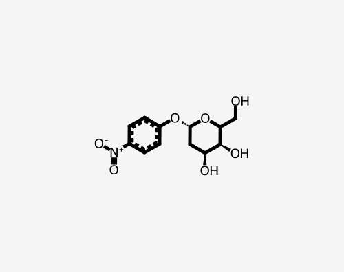 O=[N+]([O-])c1ccc(O[C@H]2C[C@H](O)[C@H](O)C(CO)O2)cc1